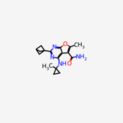 Cc1oc2nc(C34CC(C3)C4)nc(NC3(C)CC3)c2c1C(N)=O